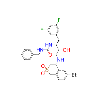 CCc1ccc2c(c1)[C@@H](NC[C@@H](O)[C@H](Cc1cc(F)cc(F)c1)NC(=O)NCc1ccccc1)CS(=O)(=O)C2